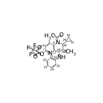 CC(=O)N1c2ccc(OS(=O)(=O)C(F)(F)F)nc2C(Nc2ccccc2)C(C)C1C1CC1